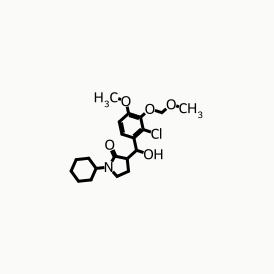 COCOc1c(OC)ccc(C(O)C2CCN(C3CCCCC3)C2=O)c1Cl